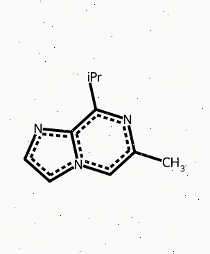 Cc1cn2ccnc2c(C(C)C)n1